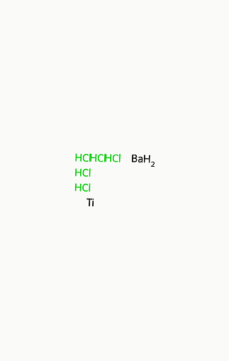 Cl.Cl.Cl.Cl.Cl.[BaH2].[Ti]